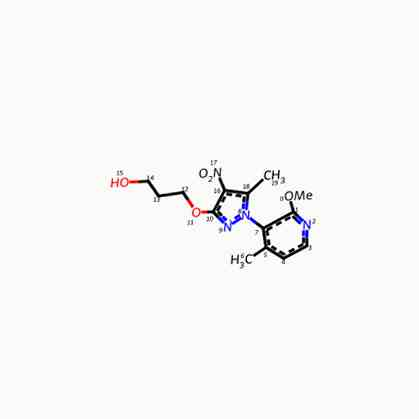 COc1nccc(C)c1-n1nc(OCCCO)c([N+](=O)[O-])c1C